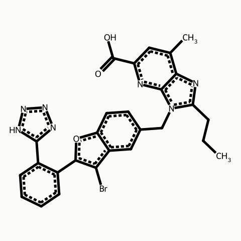 CCCc1nc2c(C)cc(C(=O)O)nc2n1Cc1ccc2oc(-c3ccccc3-c3nnn[nH]3)c(Br)c2c1